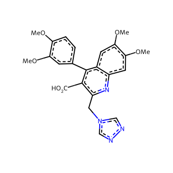 COc1ccc(-c2c(C(=O)O)c(Cn3cnnc3)nc3cc(OC)c(OC)cc23)cc1OC